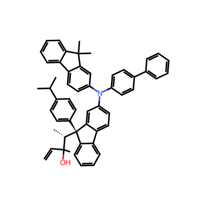 C=CC(C)(O)[C@H](C)[C@@]1(c2ccc(C(C)C)cc2)c2ccccc2-c2ccc(N(c3ccc(-c4ccccc4)cc3)c3ccc4c(c3)C(C)(C)c3ccccc3-4)cc21